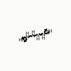 CC1(C)CC(NCCCNCCNCCCNC2CC(C)(C)NC(C)(C)C2)CC(C)(C)N1